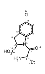 CC[C@H](N)C(=O)N1c2ccc(Cl)cc2CC1C(=O)O